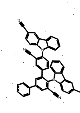 N#Cc1ccc2c(c1)c1ccccc1n2-c1ccc(-c2cc(-c3ccccc3)cc(C#N)c2-n2c3ccccc3c3cc(C#N)ccc32)cc1C#N